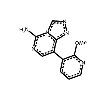 COc1ncccc1-c1cnc(N)n2cnnc12